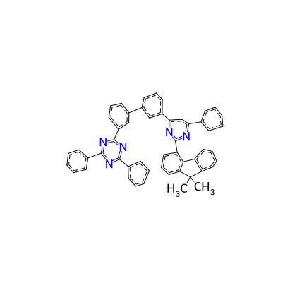 CC1(C)c2ccccc2-c2c(-c3nc(-c4ccccc4)cc(-c4cccc(-c5cccc(-c6nc(-c7ccccc7)nc(-c7ccccc7)n6)c5)c4)n3)cccc21